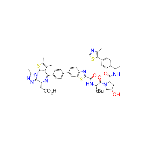 Cc1ncsc1-c1ccc(C(C)NC(=O)[C@@H]2C[C@@H](O)CN2C(=O)C(NC(=O)c2nc3ccc(-c4ccc(C5=N[C@@H](CC(=O)O)c6nnc(C)n6-c6sc(C)c(C)c65)cc4)cc3s2)C(C)(C)C)cc1